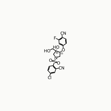 N#Cc1ccc(O[C@H]2CN(S(=O)(=O)c3ccc(Cl)cc3C#N)C[C@@]2(O)CO)cc1F